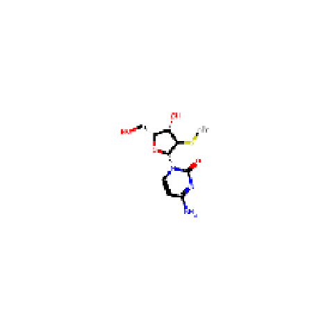 CCCSC1[C@@H](O)[C@@H](CO)O[C@H]1n1ccc(N)nc1=O